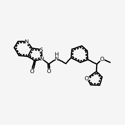 COC(c1cccc(CNC(=O)n2sc3ncccc3c2=O)c1)c1ccco1